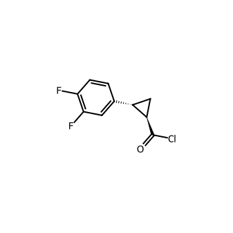 O=C(Cl)[C@@H]1C[C@H]1c1ccc(F)c(F)c1